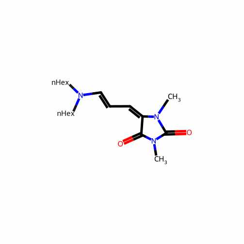 CCCCCCN(/C=C/C=C1\C(=O)N(C)C(=O)N1C)CCCCCC